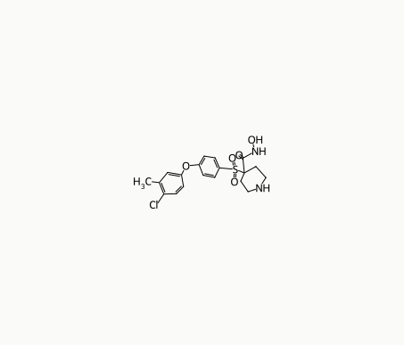 Cc1cc(Oc2ccc(S(=O)(=O)C3(C(=O)NO)CCNCC3)cc2)ccc1Cl